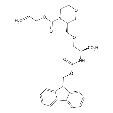 C=CCOC(=O)N1CCOC[C@H]1COC[C@H](NC(=O)OCC1c2ccccc2-c2ccccc21)C(=O)O